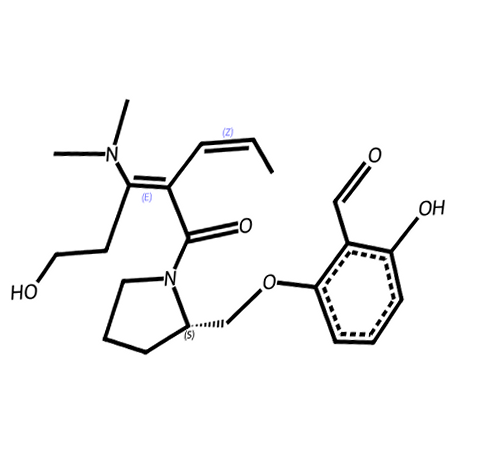 C/C=C\C(C(=O)N1CCC[C@H]1COc1cccc(O)c1C=O)=C(\CCO)N(C)C